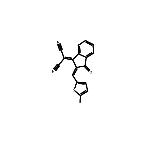 N#CC(C#N)=C1/C(=C/c2ccc(I)s2)C(=O)c2ccccc21